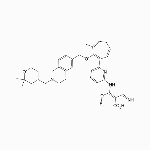 CCO/C(Nc1cccc(C2=C(OCc3ccc4c(c3)CCN(CC3CCOC(C)(C)C3)C4)C(C)=CCC=C2)n1)=C(/C=N)C(=O)O